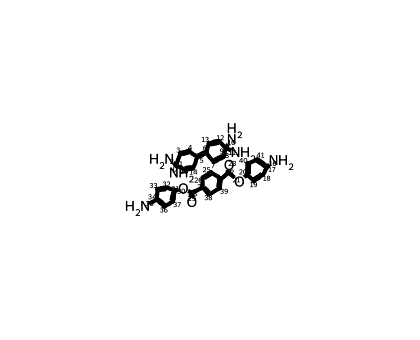 NC1(N)C=CC(=C2C=CC(N)(N)C=C2)C=C1.Nc1ccc(OC(=O)c2ccc(C(=O)Oc3ccc(N)cc3)cc2)cc1